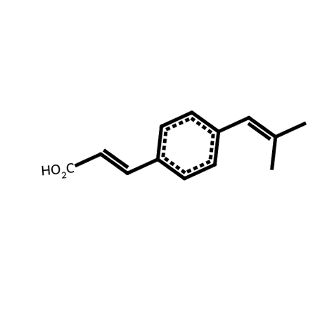 CC(C)=Cc1ccc(/C=C/C(=O)O)cc1